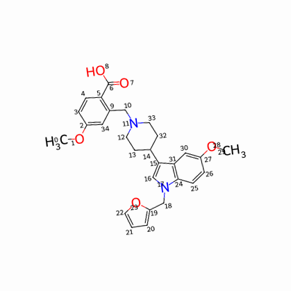 COc1ccc(C(=O)O)c(CN2CCC(c3cn(Cc4ccco4)c4ccc(OC)cc34)CC2)c1